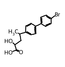 CC(CC(O)C(=O)O)c1ccc(-c2ccc(Br)cc2)cc1